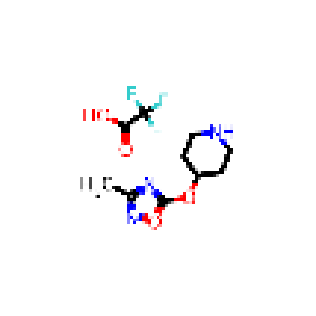 Cc1noc(OC2CCNCC2)n1.O=C(O)C(F)(F)F